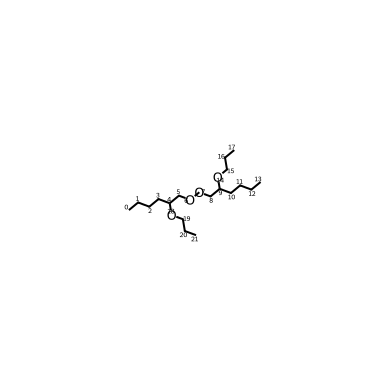 CCCCC(COOCC(CCCC)OCCC)OCCC